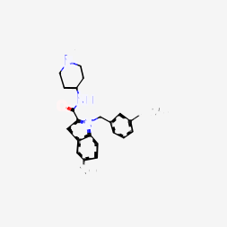 COc1cccc(Cn2c(C(=O)NC3CCN(C(C)C)CC3)cc3cc([N+](=O)[O-])ccc32)c1